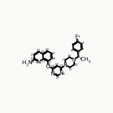 C[C@@H](c1ccc(F)cc1)N1CCN(c2cc(Oc3cccc4ccc(N)nc34)ncn2)CC1